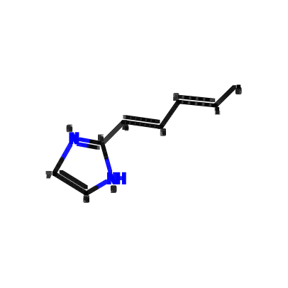 [CH2]C=CC=Cc1ncc[nH]1